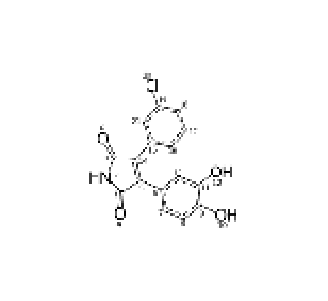 O=C1NC(=O)C(c2ccc(O)c(O)c2)=C1c1cccc(Cl)c1